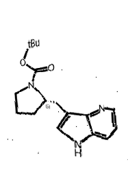 CC(C)(C)OC(=O)N1CCC[C@H]1Cc1c[nH]c2cccnc12